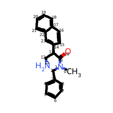 CN(Cc1ccccc1)C(=O)C(CN)c1ccc2ccccc2c1